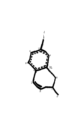 CC1C=Cc2ccc(I)cc2C1